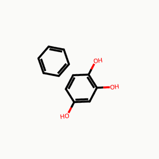 Oc1ccc(O)c(O)c1.c1ccccc1